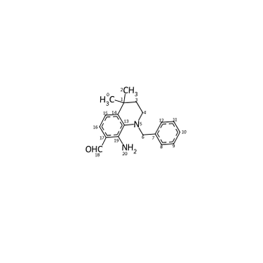 CC1(C)CCN(Cc2ccccc2)c2c1ccc(C=O)c2N